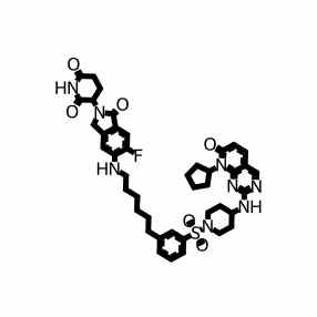 O=C1CCC(N2Cc3cc(NCCCCCCc4cccc(S(=O)(=O)N5CCC(Nc6ncc7ccc(=O)n(C8CCCC8)c7n6)CC5)c4)c(F)cc3C2=O)C(=O)N1